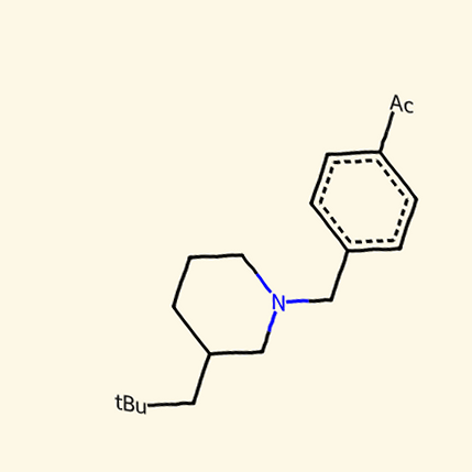 CC(=O)c1ccc(CN2CCCC(CC(C)(C)C)C2)cc1